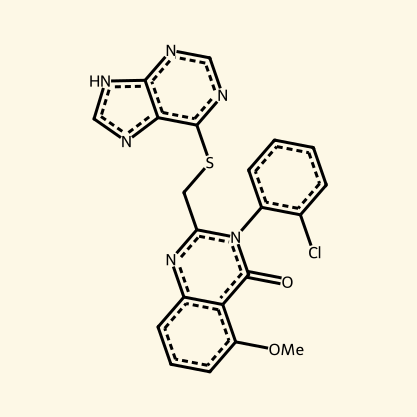 COc1cccc2nc(CSc3ncnc4[nH]cnc34)n(-c3ccccc3Cl)c(=O)c12